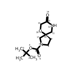 CC(C)(C)OC(=O)N1CC[C@@]2(CNC(=O)CO2)C1